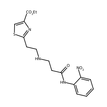 CCOC(=O)c1csc(CCNCCC(=O)Nc2ccccc2[N+](=O)[O-])n1